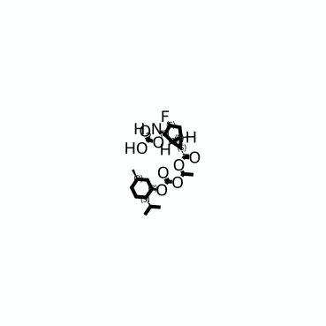 CC(OC(=O)O[C@@H]1C[C@H](C)CC[C@H]1C(C)C)OC(=O)[C@H]1[C@@H]2C[C@H](F)[C@@](N)(OC(=O)O)[C@@H]21